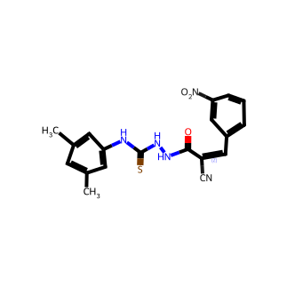 Cc1cc(C)cc(NC(=S)NNC(=O)/C(C#N)=C\c2cccc([N+](=O)[O-])c2)c1